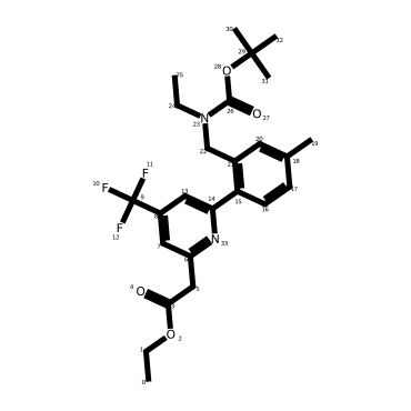 CCOC(=O)Cc1cc(C(F)(F)F)cc(-c2ccc(C)cc2CN(CC)C(=O)OC(C)(C)C)n1